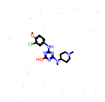 COc1ccc(Nc2nc(O)nc(N(C)C3CCN(C)CC3)n2)cc1Cl